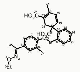 CCON=C(C)c1ccc(OCc2ccccc2C2(C(=O)O)C=CC(C)=C(C(=O)O)C2)c(C)c1